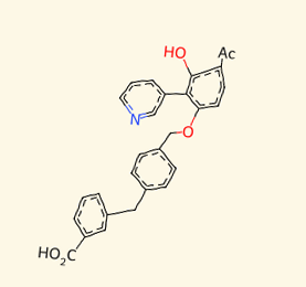 CC(=O)c1ccc(OCc2ccc(Cc3cccc(C(=O)O)c3)cc2)c(-c2cccnc2)c1O